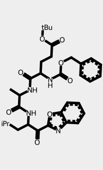 CC(C)CC(NC(=O)C(C)NC(=O)C(CCC(=O)OC(C)(C)C)NC(=O)OCc1ccccc1)C(=O)c1nc2ccccc2o1